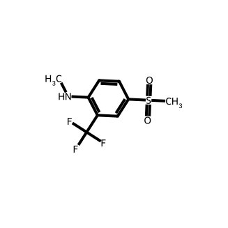 CNc1ccc(S(C)(=O)=O)cc1C(F)(F)F